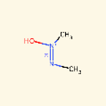 C/N=[N+](\C)O